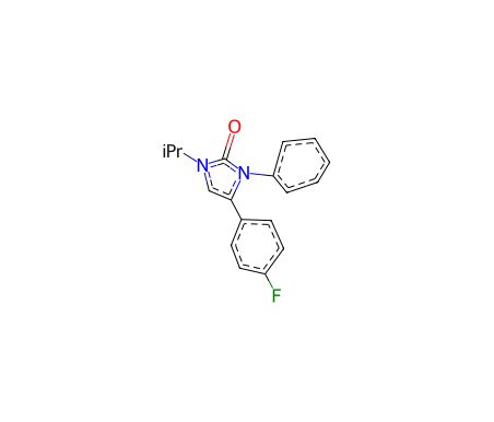 CC(C)n1cc(-c2ccc(F)cc2)n(-c2ccccc2)c1=O